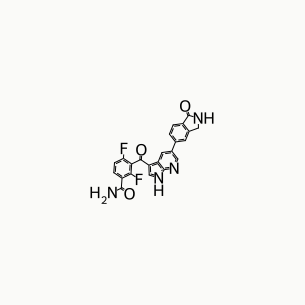 NC(=O)c1ccc(F)c(C(=O)c2c[nH]c3ncc(-c4ccc5c(c4)CNC5=O)cc23)c1F